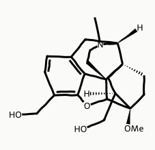 CO[C@]12CC[C@@]3(C[C@@H]1CO)[C@H]1Cc4ccc(CO)c5c4[C@@]3(CCN1C)C2O5